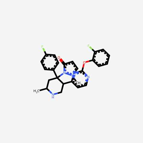 CC1CC(c2ccc(F)cc2)(n2c(=O)ccn2C)C(c2ccnc(Oc3ccccc3F)n2)CN1